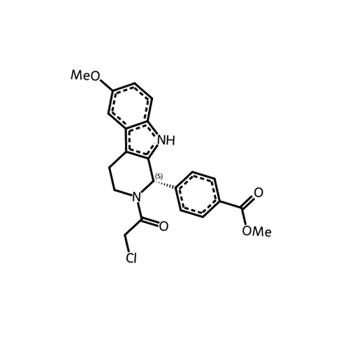 COC(=O)c1ccc([C@H]2c3[nH]c4ccc(OC)cc4c3CCN2C(=O)CCl)cc1